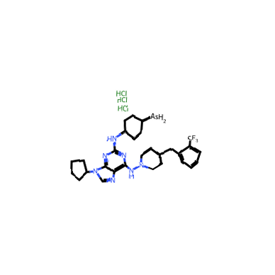 Cl.Cl.Cl.FC(F)(F)c1ccccc1CC1CCN(Nc2nc(NC3CCC([AsH2])CC3)nc3c2ncn3C2CCCC2)CC1